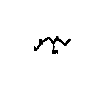 CCOC(O)[CH2][Zn][Br]